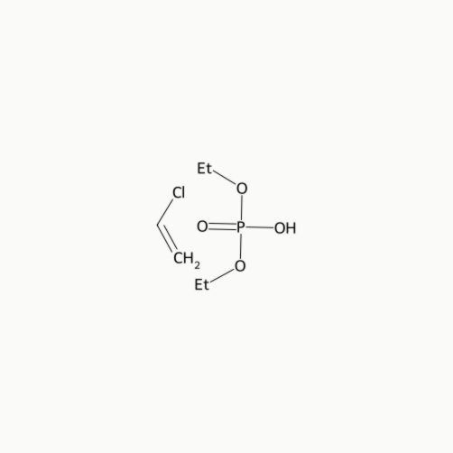 C=CCl.CCOP(=O)(O)OCC